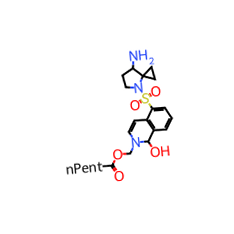 CCCCCC(=O)OCN1C=Cc2c(cccc2S(=O)(=O)N2CCC(N)C23CC3)C1O